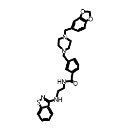 O=C(NCCNc1nsc2ccccc12)c1cccc(CN2CCN(Cc3ccc4c(c3)OCO4)CC2)c1